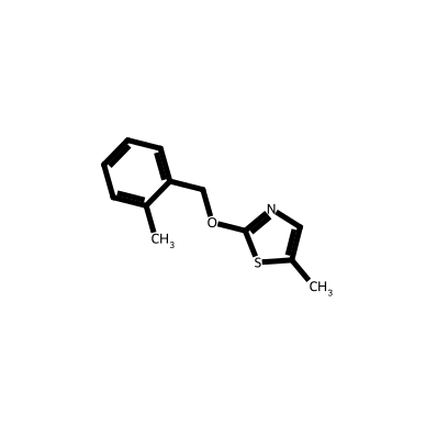 Cc1cnc(OCc2ccccc2C)s1